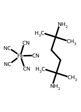 CC(C)(N)CCC(C)(C)N.N#[C][Fe]([C]#N)([C]#N)([C]#N)[C]#N